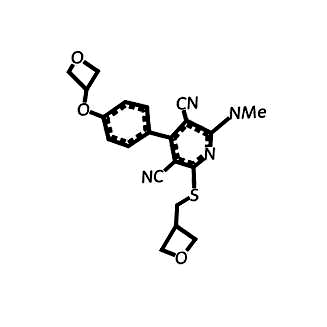 CNc1nc(SCC2COC2)c(C#N)c(-c2ccc(OC3COC3)cc2)c1C#N